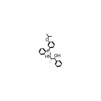 CC(C)Oc1cccc([P@@](CN[C@@H](C)[C@H](O)c2ccccc2)c2ccccc2)c1